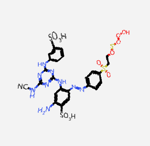 N#CNc1nc(Nc2cccc(S(=O)(=O)O)c2)nc(Nc2cc(N)c(S(=O)(=O)O)cc2/N=N/c2ccc(S(=O)(=O)CCOSOOO)cc2)n1